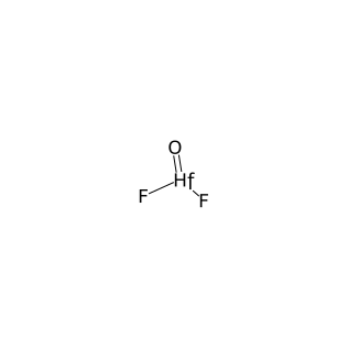 [O]=[Hf]([F])[F]